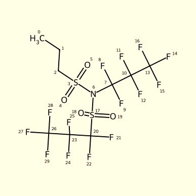 CCCS(=O)(=O)N(C(F)(F)C(F)(F)C(F)(F)F)S(=O)(=O)C(F)(F)C(F)(F)C(F)(F)F